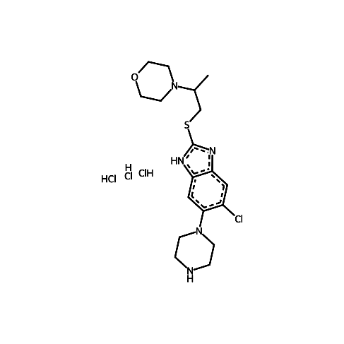 CC(CSc1nc2cc(Cl)c(N3CCNCC3)cc2[nH]1)N1CCOCC1.Cl.Cl.Cl